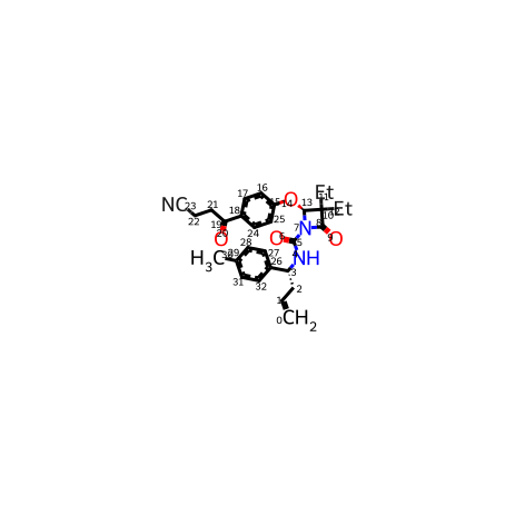 C=CC[C@@H](NC(=O)N1C(=O)C(CC)(CC)[C@@H]1Oc1ccc(C(=O)CCC#N)cc1)c1ccc(C)cc1